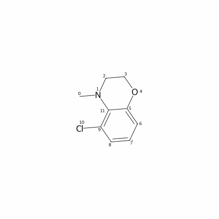 CN1CCOc2c[c]cc(Cl)c21